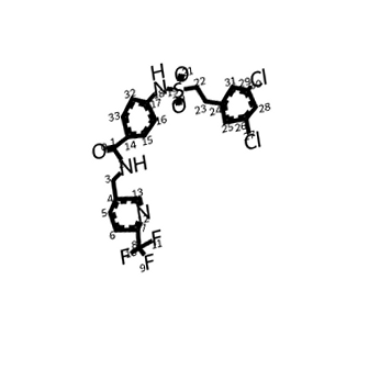 O=C(NCc1ccc(C(F)(F)F)nc1)c1ccc(NS(=O)(=O)CCc2cc(Cl)cc(Cl)c2)cc1